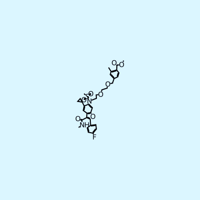 CNC(=O)c1c(-c2ccc(F)cc2)oc2cc(N(CCOCCOCc3ccc(C(=O)OC)c(C)c3)S(C)(=O)=O)c(C3CC3)cc12